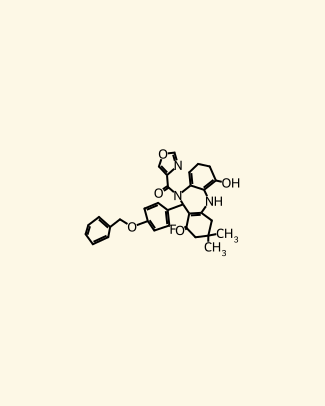 CC1(C)CC(=O)C2=C(C1)NC1=C(O)CCC=C1N(C(=O)c1cocn1)C2c1ccc(OCc2ccccc2)cc1F